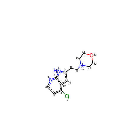 Clc1ccnc2[nH]c(CCN3CCOCC3)cc12